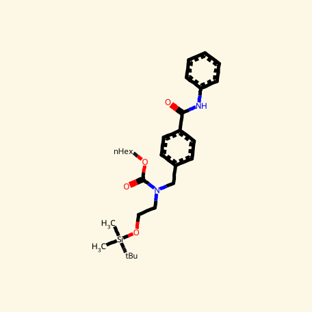 CCCCCCOC(=O)N(CCO[Si](C)(C)C(C)(C)C)Cc1ccc(C(=O)Nc2ccccc2)cc1